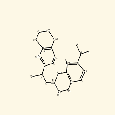 CC(C)c1ccc2c(n1)CC(CC(C)c1ccc3c(n1)CCCO3)OC2